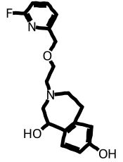 Oc1ccc2c(c1)CCN(CCOCc1cccc(F)n1)CC2O